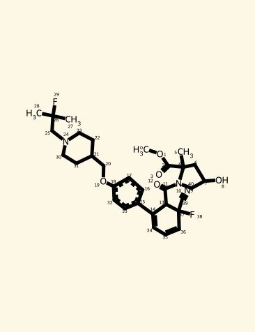 COC(=O)C1(C)CC(O)CN1C(=O)C1C(c2ccc(OCC3CCN(CC(C)(C)F)CC3)cc2)=CC=CC1(F)C#N